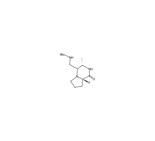 C[C@@H]1NC(=O)[C@@H]2CCCN2C1CNC(C)(C)C